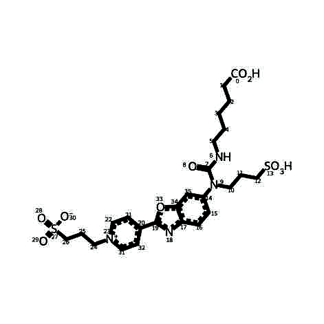 O=C(O)CCCCCNC(=O)N(CCCS(=O)(=O)O)c1ccc2nc(-c3cc[n+](CCCS(=O)(=O)[O-])cc3)oc2c1